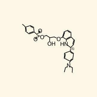 CCN(CC)c1ccc([C@@H]2C=Cc3cccc(OCC(O)COS(=O)(=O)c4ccc(C)cc4)c3N2)cc1